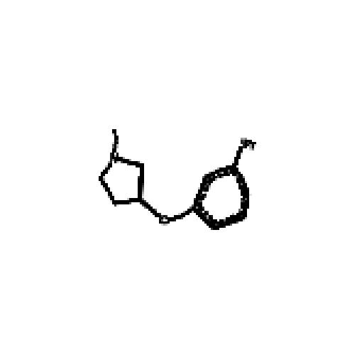 CC(C)c1cccc(OC2CCN(C)C2)c1